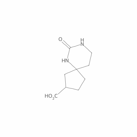 O=C1NCCC2(CCC(C(=O)O)C2)N1